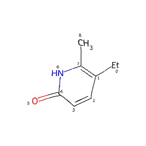 CCc1ccc(=O)[nH]c1C